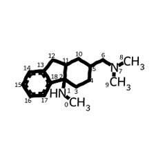 CNC12CCC(CN(C)C)CC1Cc1ccccc12